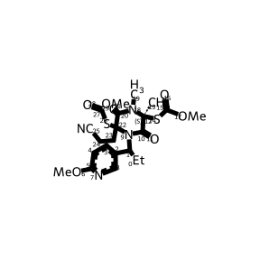 CCC(c1ccc(OC)nc1)N1C(=O)[C@](C)(SC(=O)OC)N(C)C(=O)C1(CCC#N)SC(=O)OC